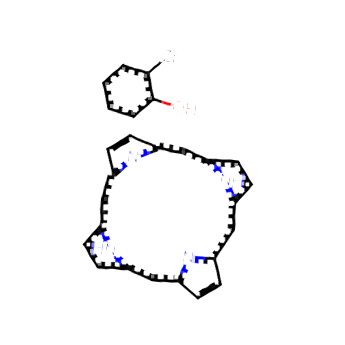 C1=Cc2cc3ccc(cc4nc(cc5ccc(cc1n2)[nH]5)C=C4)[nH]3.Oc1cccc[c]1[Zr]